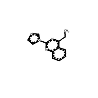 CCc1nc(-n2ccnc2)nc2ccccc12